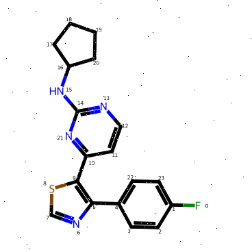 Fc1ccc(-c2ncsc2-c2ccnc(NC3CCCC3)n2)cc1